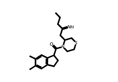 CCCC(=N)CC1CSCCN1C(=O)C1CCc2cc(C)c(C)cc21